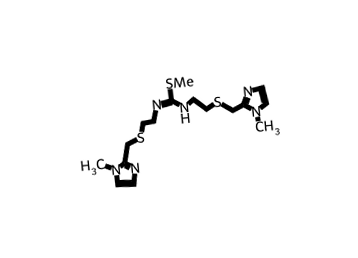 CSC(=NCCSCc1nccn1C)NCCSCc1nccn1C